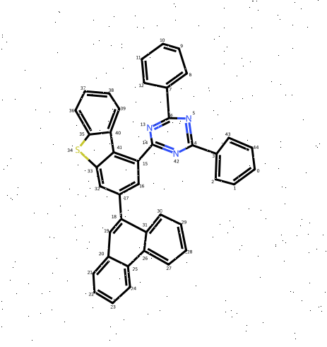 c1ccc(-c2nc(-c3ccccc3)nc(-c3cc(-c4cc5ccccc5c5ccccc45)cc4sc5ccccc5c34)n2)cc1